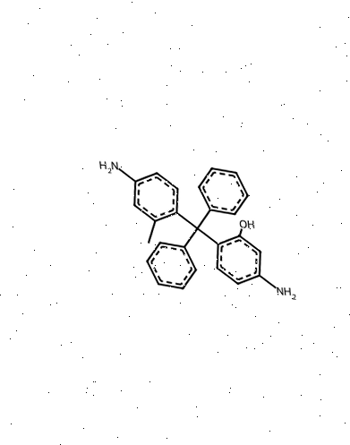 Cc1cc(N)ccc1C(c1ccccc1)(c1ccccc1)c1ccc(N)cc1O